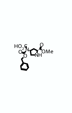 COC(=O)[C@H]1C[C@@H](N(C(=O)O)C(=O)OCc2ccccc2)CN1